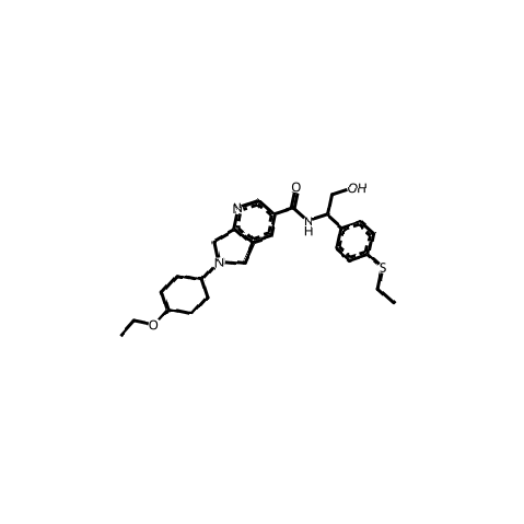 CCOC1CCC(N2Cc3cc(C(=O)NC(CO)c4ccc(SCC)cc4)cnc3C2)CC1